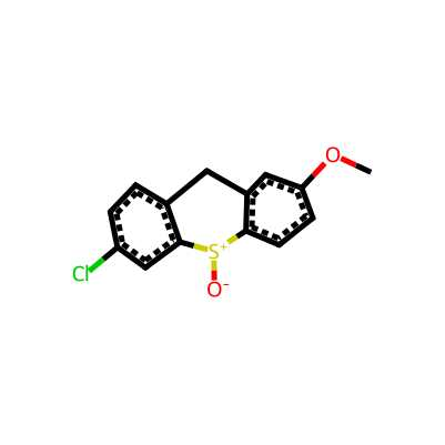 COc1ccc2c(c1)Cc1ccc(Cl)cc1[S+]2[O-]